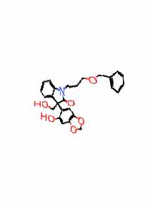 O=C1N(CCCOCc2ccccc2)c2ccccc2C1(CO)c1cc2c(cc1O)OCO2